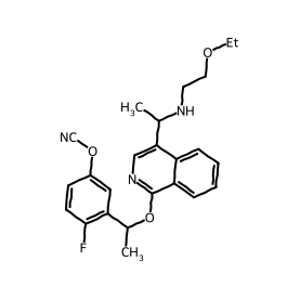 CCOCCNC(C)c1cnc(OC(C)c2cc(OC#N)ccc2F)c2ccccc12